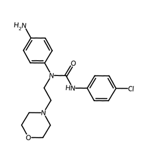 Nc1ccc(N(CCN2CCOCC2)C(=O)Nc2ccc(Cl)cc2)cc1